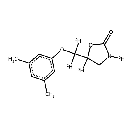 [2H]N1CC([2H])(C([2H])([2H])Oc2cc(C)cc(C)c2)OC1=O